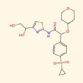 O=C(Nc1nc(C(O)CO)cs1)C(OC1CCOCC1)c1ccc(S(=O)(=O)C2CC2)cc1